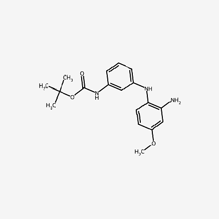 COc1ccc(Nc2cccc(NC(=O)OC(C)(C)C)c2)c(N)c1